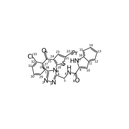 Cc1nnc(CNC(=O)c2cc3ccccc3[nH]2)n1-c1sc(C(C)C)cc1C(=O)c1ccccc1Cl